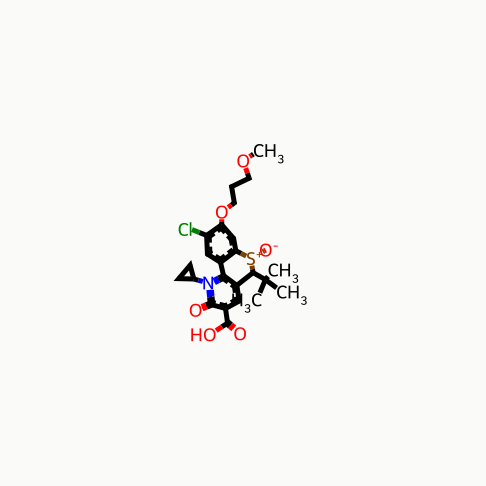 COCCCOc1cc2c(cc1Cl)-c1c(cc(C(=O)O)c(=O)n1C1CC1)C(C(C)(C)C)[S+]2[O-]